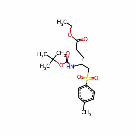 CCOC(=O)CC[C@H](CS(=O)(=O)c1ccc(C)cc1)NC(=O)OC(C)(C)C